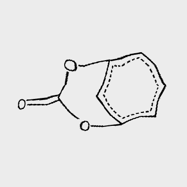 O=C1Oc2cccc(c2)O1